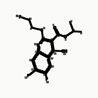 CC(C)OC(=O)c1c(SCCF)nc2cc(F)c(F)cc2c1O